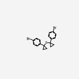 Brc1ccc(C2(SC3(c4ccc(Br)cc4)CC3)CC2)cc1